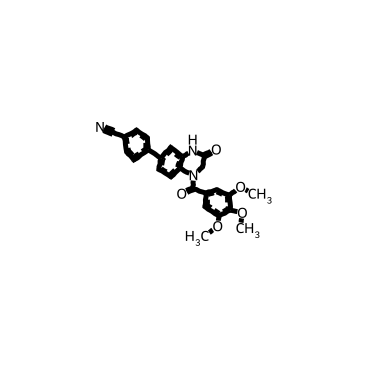 COc1cc(C(=O)N2CC(=O)Nc3cc(-c4ccc(C#N)cc4)ccc32)cc(OC)c1OC